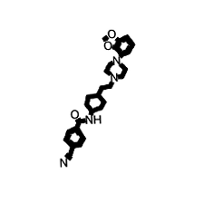 N#Cc1ccc(C(=O)NC2CCC(CCN3CCN(c4cccc5c4OCO5)CC3)CC2)cc1